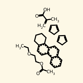 C1=CCC=C1.C1=CCC=C1.C=C(C)C(=O)O.CCOCCOC(C)=O.c1ccc2c(c1)ccc1c3c(ccc12)CCCC3